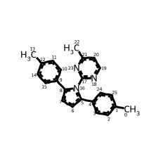 Cc1ccc(-c2ccc(-c3ccc(C)cc3)n2-c2nccc(C)n2)cc1